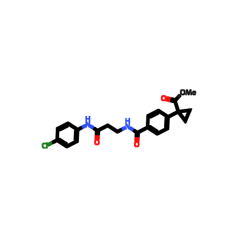 COC(=O)C1(c2ccc(C(=O)NCCC(=O)Nc3ccc(Cl)cc3)cc2)CC1